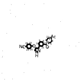 CC(=O)N1CCN(C(=O)c2cccc(-c3n[nH]cc3Oc3ccc(C#N)cc3)c2)CC1